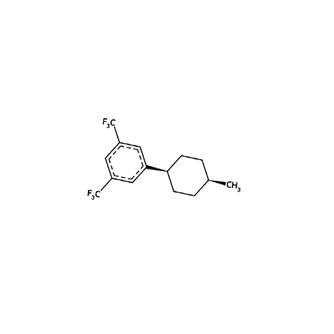 C[C@H]1CC[C@@H](c2cc(C(F)(F)F)cc(C(F)(F)F)c2)CC1